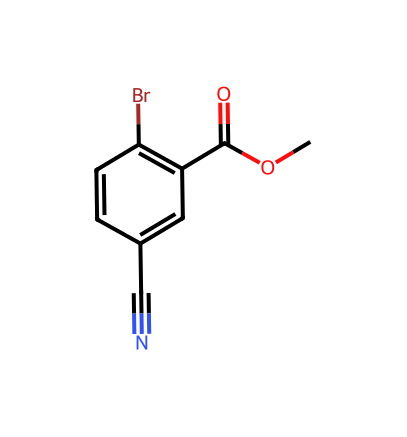 COC(=O)c1cc(C#N)ccc1Br